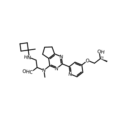 C[C@H](O)COc1ccnc(-c2nc3c(c(N(C)C(C=O)CNC4(C)CCC4)n2)CCC3)c1